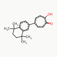 CC1(C)CCC(C)(C)c2cc(-c3ccc(O)c(=O)cc3)ccc21